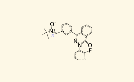 CC(C)(C)/[N+]([O-])=C/c1cccc(-c2nn(-c3ccccc3F)c(=O)c3ccccc23)c1